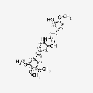 COc1ccc(/C=C/C(=O)Nc2ccc(/C=C/c3cc(OC)c(OC)c(OC)c3)cc2O)cc1O